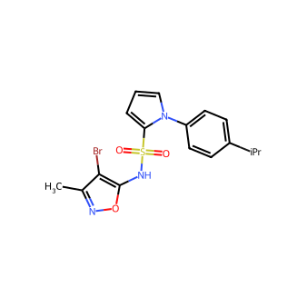 Cc1noc(NS(=O)(=O)c2cccn2-c2ccc(C(C)C)cc2)c1Br